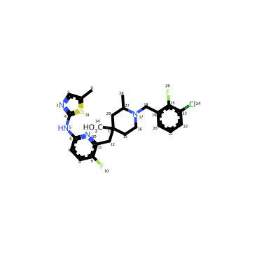 Cc1cnc(Nc2ccc(F)c(CC3(C(=O)O)CCN(Cc4cccc(Cl)c4F)C(C)C3)n2)s1